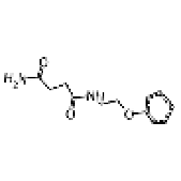 NC(=O)CCC(=O)NCCOc1ccccc1